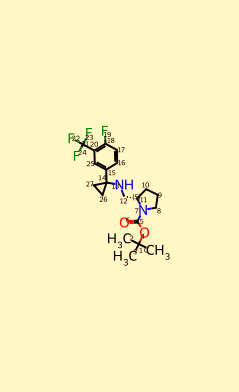 CC(C)(C)OC(=O)N1CCC[C@H]1CNC1(c2ccc(F)c(C(F)(F)F)c2)CC1